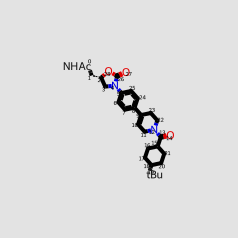 CC(=O)NC[C@H]1CN(c2ccc(C3=CCN(C(=O)C4CCC(C(C)(C)C)CC4)CC3)cc2)C(=O)O1